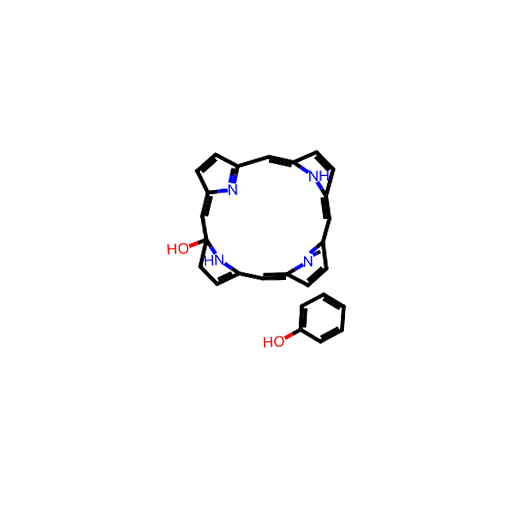 OC12C=C3C=CC(=N3)C=c3ccc([nH]3)=CC3=NC(=CC(=CC1)N2)C=C3.Oc1ccccc1